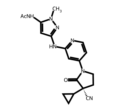 CC(=O)Nc1cc(Nc2cc(N3CC[C@@](C#N)(C4CC4)C3=O)ccn2)nn1C